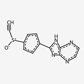 C#C[S+]([O-])c1ccc(-c2nc3nccnc3[nH]2)cc1